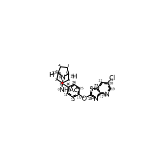 CC(=O)NC1C[C@H]2CC[C@@H](C1)N2Cc1ccc(Oc2nc3ncc(Cl)cc3s2)cc1